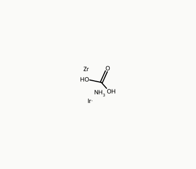 N.O=C(O)O.[Ir].[Zr]